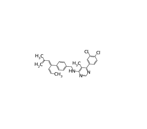 C=C(C)/C=C(\C=C/C)c1ccc(CNc2ncnc(-c3ccc(Cl)c(Cl)c3)c2C)cc1